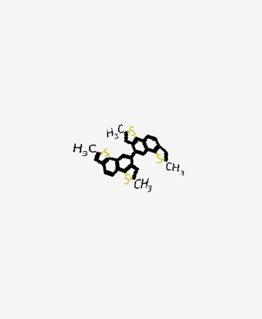 Cc1cc2ccc3c(cc(-c4cc5c(ccc6cc(C)sc65)c5sc(C)cc45)c4cc(C)sc43)c2s1